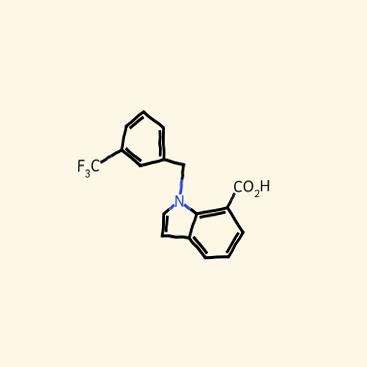 O=C(O)c1cccc2ccn(Cc3cccc(C(F)(F)F)c3)c12